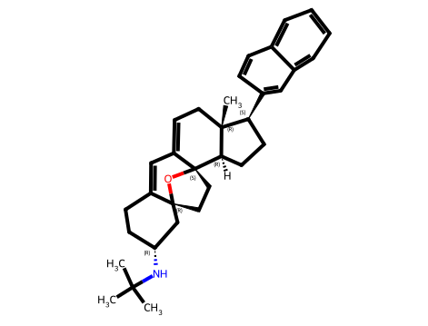 CC(C)(C)N[C@@H]1CCC2=CC3=CC[C@]4(C)[C@@H](c5ccc6ccccc6c5)CC[C@H]4[C@@]34CC[C@]2(C1)O4